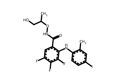 Cc1cc(I)ccc1Nc1c(C(=O)NOC(C)CO)cc(F)c(F)c1F